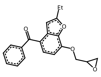 CCc1cc2c(C(=O)c3ccccc3)ccc(OCC3CO3)c2o1